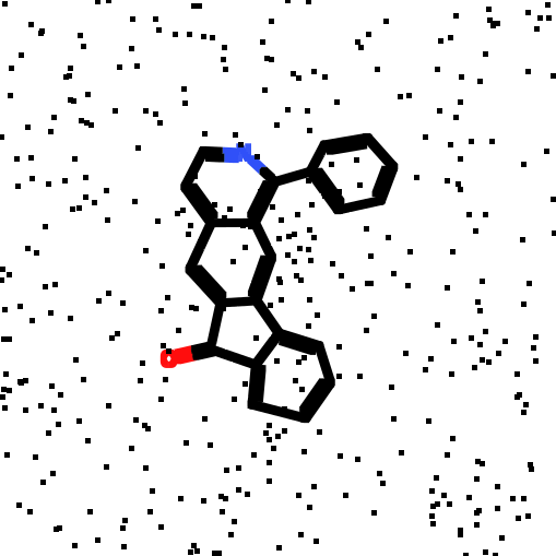 O=C1c2ccccc2-c2cc3c(-c4ccccc4)nccc3cc21